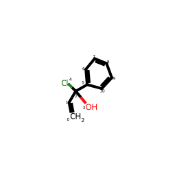 C=CC(O)(Cl)c1ccccc1